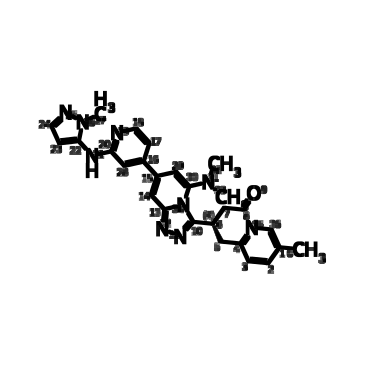 Cc1ccc(C[C@H](CC=O)c2nnc3cc(-c4ccnc(Nc5ccnn5C)c4)cc(N(C)C)n23)nc1